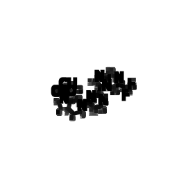 CS(=O)(=O)N1CCC2CCN(c3ccnc(-c4cnc5cnc(C(F)F)cn45)n3)CC21